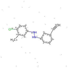 C#Cc1cccc(NNc2ccc(Cl)c(C)c2)c1